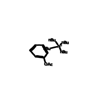 CC(=O)Oc1ccccc1.CCCC[N+](CCCC)(CCCC)CCCC